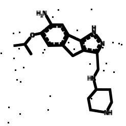 CC(C)Oc1cc2c(cc1N)-c1[nH]nc(CNC3CCNCC3)c1C2